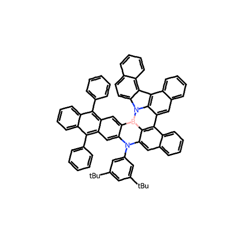 CC(C)(C)c1cc(N2c3cc4c(-c5ccccc5)c5ccccc5c(-c5ccccc5)c4cc3B3c4c2cc2ccccc2c4-c2cc4ccccc4c4c5c6ccccc6ccc5n3c24)cc(C(C)(C)C)c1